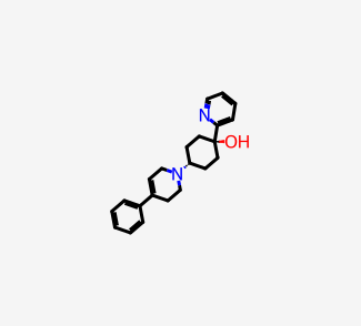 O[C@]1(c2ccccn2)CC[C@@H](N2CC=C(c3ccccc3)CC2)CC1